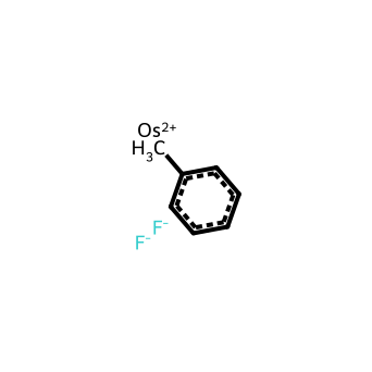 Cc1ccccc1.[F-].[F-].[Os+2]